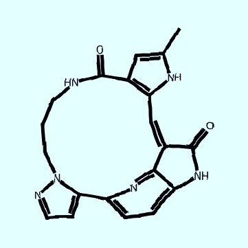 Cc1cc2c([nH]1)/C=C1\C(=O)Nc3ccc(nc31)-c1ccnn1CCCNC2=O